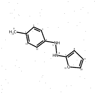 Cc1ccc(NNc2ccco2)cc1